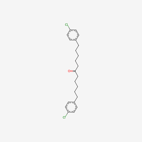 O=C(CCCCCc1ccc(Cl)cc1)CCCCCc1ccc(Cl)cc1